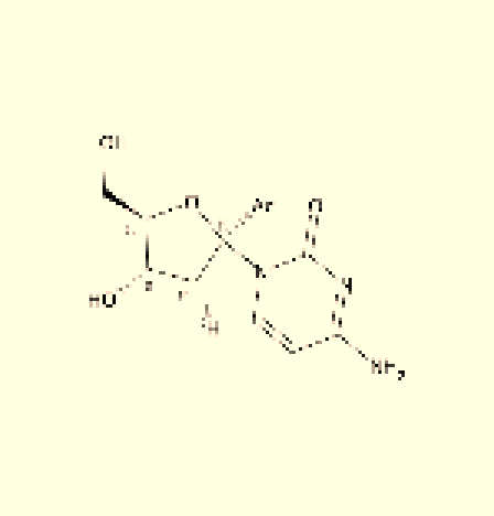 [2H][C@@H]1[C@H](O)[C@@H](CO)O[C@@]1(C(C)=O)n1ccc(N)nc1=O